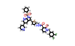 O=C(NCc1ccc(-c2cn(S(=O)(=O)c3ccccc3)c3ncc(-c4cccnc4)cc23)s1)c1cccn(Cc2ccc(F)c(F)c2)c1=O